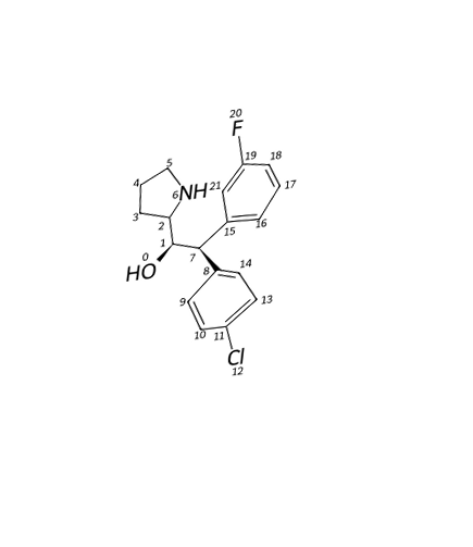 O[C@@H](C1CCCN1)[C@H](c1ccc(Cl)cc1)c1cccc(F)c1